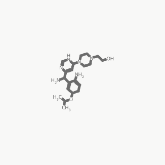 CC(C)OC1C=C(C(N)C2=CC(N3CCN(CCO)CC3)NC=N2)C(N)=CC1